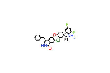 CCC(N)[C@]1(c2cc(F)cc(F)c2)CC[C@H](Oc2cc3c(Cc4ccccc4)c[nH]c(=O)c3cc2Cl)CC1